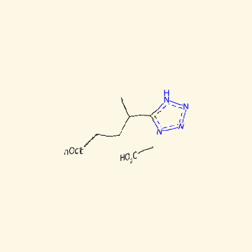 CC(=O)O.CCCCCCCCCCC(C)c1nnn[nH]1